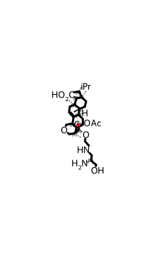 CC(=O)O[C@@H]1C[C@@]23COC[C@@](C)(C2CC[C@H]2C3=CC[C@@]3(C)[C@H](C(=O)O)[C@@](C)([C@H](C)C(C)C)CC[C@]23C)[C@H]1OCCNC[C@@H](N)CO